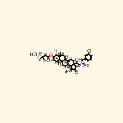 CC(=O)N(Cc1cccc(Cl)c1)C[C@@H](O)[C@@]12CC[C@]3(C)[C@H](CC[C@@H]4[C@@]5(C)CC[C@H](OC(=O)CC(C)(C)C(=O)O)[C@H](C)[C@@H]5CC[C@]43C)C1=C(C(C)C)C(=O)C2